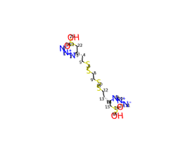 [N-]=[N+]=N[C@@H](CCSSCCSSCC[C@@H](CS(=O)O)N=[N+]=[N-])CS(=O)O